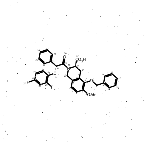 COc1ccc2c(c1OCc1ccccc1)C[C@H](C(=O)O)N(C(=O)[C@H](Oc1ccc(F)cc1F)c1ccccc1)C2